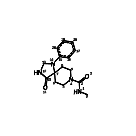 CNC(=O)N1CCC2(CC1)C(=O)NCN2c1ccccc1